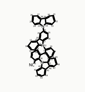 N#Cc1cccc(-c2ccccc2-n2c3ccccc3c3cc(-n4c5ccccc5c5ccccc54)ccc32)c1-n1c2ccccc2c2ccccc21